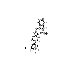 CC(C)(C)OC(=O)N1CCC2(CC1)CN(Cc1c(CO)cc3ccccn13)C2